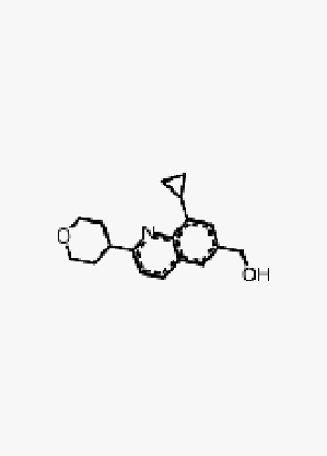 OCc1cc(C2CC2)c2nc(C3CCOCC3)ccc2c1